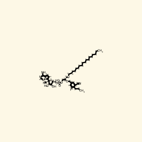 CCCCCCCCCCCCCCCCCCOC[C@H](COP(=O)(O)OC[C@H]1O[C@@](C#N)(c2ccc3c(N)ncnn23)[C@H](O)[C@@H]1O)OCc1cc(F)c(CCC)c(C#N)c1